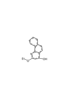 CCOc1cc(O)c2ccc3ccccc3c2n1